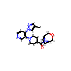 Cc1cnn(-c2ccncc2N2CCC(C(=O)N3C4CCC3COC4)CC2)c1